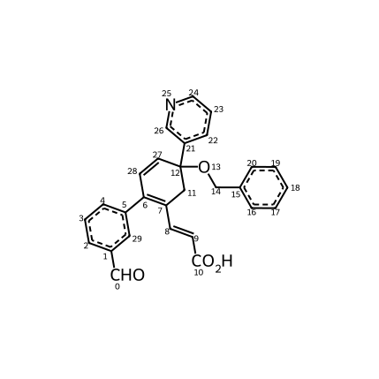 O=Cc1cccc(C2=C(C=CC(=O)O)CC(OCc3ccccc3)(c3cccnc3)C=C2)c1